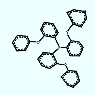 c1ccc(Oc2ccccc2B(c2ccccc2Oc2ccccc2)c2ccccc2Oc2ccccc2)cc1